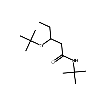 CCC(CC(=O)NC(C)(C)C)OC(C)(C)C